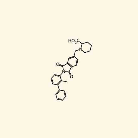 Cc1c(-c2ccccc2)cccc1N1C(=O)c2ccc(CN3CCCCC3C(=O)O)cc2C1=O